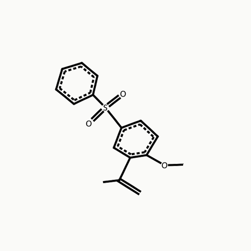 C=C(C)c1cc(S(=O)(=O)c2ccccc2)ccc1OC